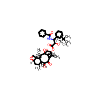 CC1=C2C(=O)C(=O)[C@@]3(C)[C@H]([C@H](C)[C@](O)(C[C@@H]1OC(=O)[C@H](O[Si](C)(C)C(C)(C)C)[C@@H](NC(=O)c1ccccc1)c1ccccc1)C2(C)C)[C@]1(C)CO[C@@H]1C[C@@H]3C